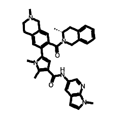 Cc1c(C(=O)Nc2cnc3c(ccn3C)c2)cc(-c2cc3c(cc2C(=O)N2Cc4ccccc4C[C@H]2C)CN(C)CC3)n1C